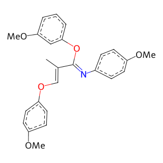 COc1ccc(N=C(Oc2cccc(OC)c2)C(C)=COc2ccc(OC)cc2)cc1